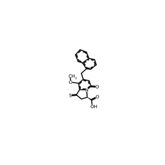 COc1c(Cc2cccc3ccccc23)cc(=O)n2c1C(=S)C[C@@H]2C(=O)O